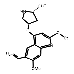 C=Cc1cc2c(O[C@H]3CN[C@H](C=O)C3)cc(OCC)nc2cc1OC